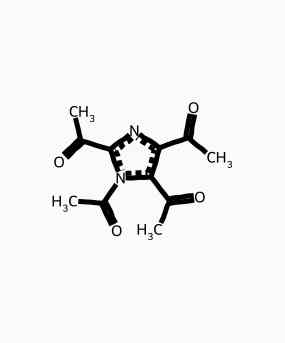 CC(=O)c1nc(C(C)=O)n(C(C)=O)c1C(C)=O